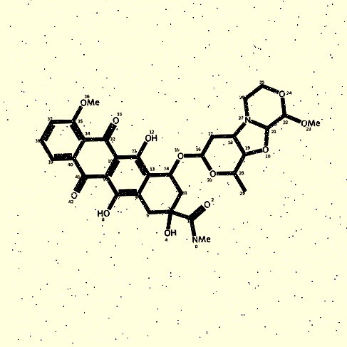 CNC(=O)C1(O)Cc2c(O)c3c(c(O)c2C(OC2CC4C(OC5C(OC)OCCN45)C(C)O2)C1)C(=O)c1c(OC)cccc1C3=O